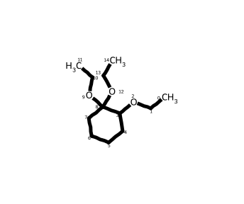 CCOC1CCCCC1(OCC)OCC